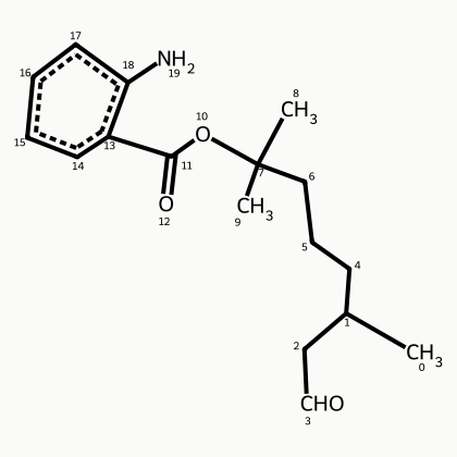 CC(CC=O)CCCC(C)(C)OC(=O)c1ccccc1N